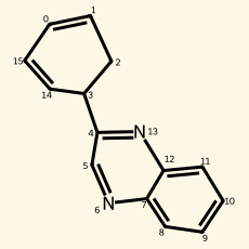 C1=CCC(c2cnc3ccccc3n2)C=C1